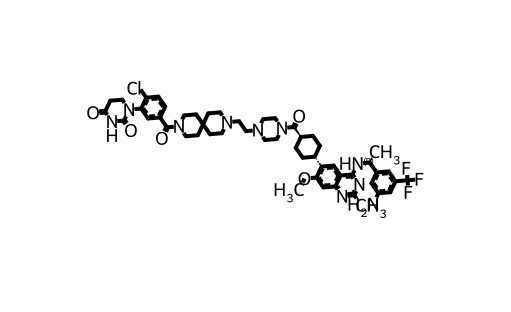 COc1cc2nc(C)nc(N[C@H](C)c3cc(N)cc(C(F)(F)F)c3)c2cc1[C@H]1CC[C@H](C(=O)N2CCN(CCN3CCC4(CC3)CCN(C(=O)c3ccc(Cl)c(N5CCC(=O)NC5=O)c3)CC4)CC2)CC1